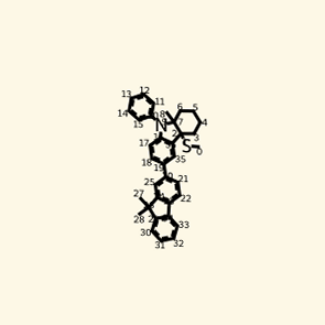 CSC12CCCCC1(C)N(c1ccccc1)c1ccc(-c3ccc4c(c3)C(C)(C)c3ccccc3-4)cc12